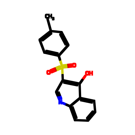 Cc1ccc(S(=O)(=O)c2cnc3ccccc3c2O)cc1